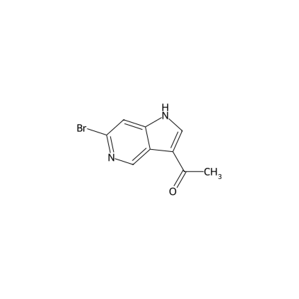 CC(=O)c1c[nH]c2cc(Br)ncc12